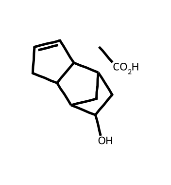 CC(=O)O.OC1CC2CC1C1CC=CC21